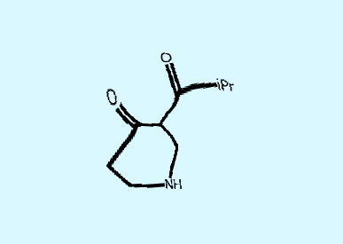 CC(C)C(=O)C1CNCCC1=O